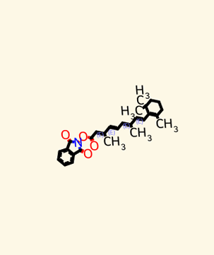 CC1=C(/C=C/C(C)=C/C=C/C(C)=C/C(=O)ON2C(=O)c3ccccc3C2=O)C(C)(C)CCC1